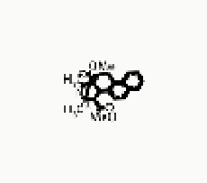 COC(=O)C1C2c3ccc4ccccc4c3CC3C[C@]1(C)N=C(C)[C@]32C(=O)OC